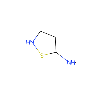 [NH]C1CCNS1